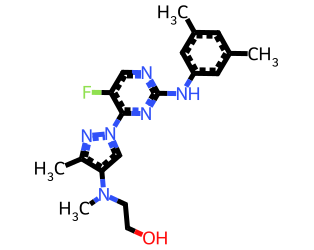 Cc1cc(C)cc(Nc2ncc(F)c(-n3cc(N(C)CCO)c(C)n3)n2)c1